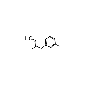 CC(=CO)Cc1cccc(C)c1